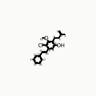 C=C(C)CCc1c(O)cc(C=Cc2ccccc2)c(Cl)c1OC